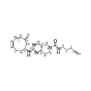 C#CCCCNC(=O)N1CCc2nc(NC3CC/C=C\C=C/C(=C)C3)ncc2C1